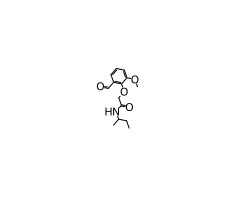 CCC(C)NC(=O)COc1c(C=O)cccc1OC